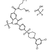 CN(c1ccc(C(=O)N(CCN)CCN)cc1C(=O)Nc1ccc(S(=O)(=O)N2CCN(c3cc(Cl)cc(Cl)c3)CC2)cc1)S(C)(=O)=O.O=C(O)C(F)(F)F